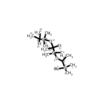 CCC(C)[Si](C)(C)C(C)O[Si](C)(C)C(C)(CC)O[Si](C)(C)C(C)(C)CC